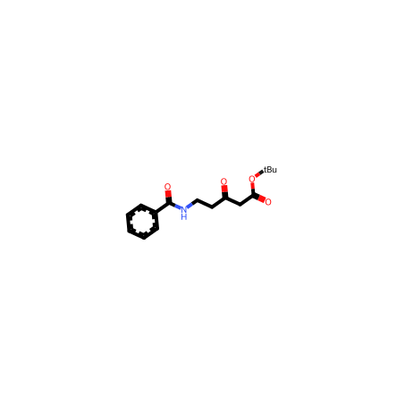 CC(C)(C)OC(=O)CC(=O)CCNC(=O)c1ccccc1